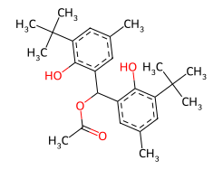 CC(=O)OC(c1cc(C)cc(C(C)(C)C)c1O)c1cc(C)cc(C(C)(C)C)c1O